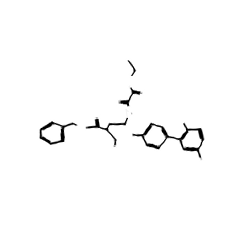 CCOC(=O)C(=O)N[C@H](Cc1ccc(-c2cc(Cl)ccc2F)cc1)C[C@@](C)(CO)C(=O)OCc1ccccc1